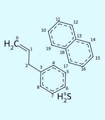 C=CCc1ccccc1.S.c1ccc2ccccc2c1